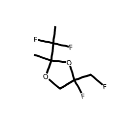 CC(F)(F)C1(C)OCC(F)(CF)O1